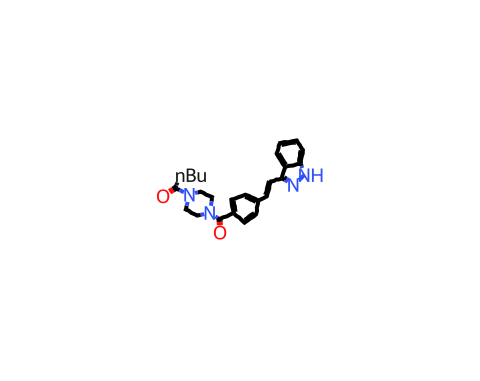 CCCCC(=O)N1CCN(C(=O)c2ccc(C=Cc3n[nH]c4ccccc34)cc2)CC1